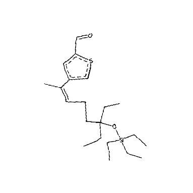 CCC(CC)(CC/C=C(/C)c1csc(C=O)c1)O[Si](CC)(CC)CC